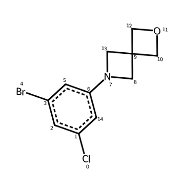 Clc1cc(Br)cc(N2CC3(COC3)C2)c1